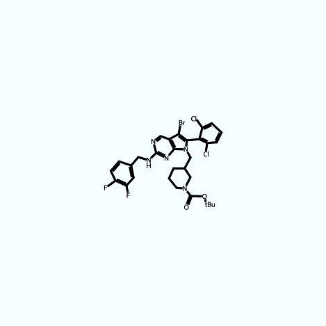 CC(C)(C)OC(=O)N1CCCC(Cn2c(-c3c(Cl)cccc3Cl)c(Br)c3cnc(NCc4ccc(F)c(F)c4)nc32)C1